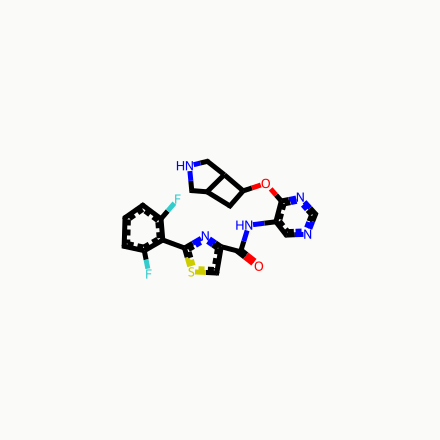 O=C(Nc1cncnc1OC1CC2CNCC21)c1csc(-c2c(F)cccc2F)n1